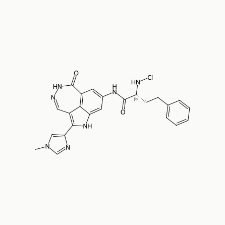 Cn1cnc(-c2[nH]c3cc(NC(=O)[C@@H](CCc4ccccc4)NCl)cc4c3c2C=NNC4=O)c1